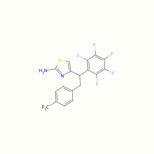 Nc1nc(C(Cc2ccc(C(F)(F)F)cc2)c2c(F)c(F)c(F)c(F)c2F)cs1